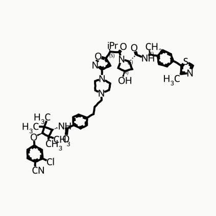 Cc1ncsc1-c1ccc([C@H](C)NC(=O)[C@@H]2C[C@@H](O)CN2C(=O)[C@H](c2cc(N3CCN(CCCc4ccc(C(=O)N[C@H]5C(C)(C)[C@H](Oc6ccc(C#N)c(Cl)c6)C5(C)C)cc4)CC3)no2)C(C)C)cc1